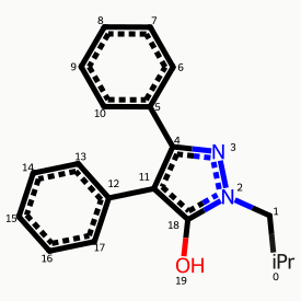 CC(C)Cn1nc(-c2ccccc2)c(-c2ccccc2)c1O